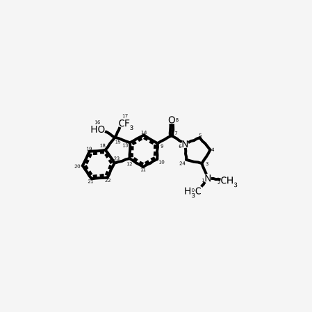 CN(C)C1CCN(C(=O)c2ccc3c(c2)C(O)(C(F)(F)F)c2ccccc2-3)C1